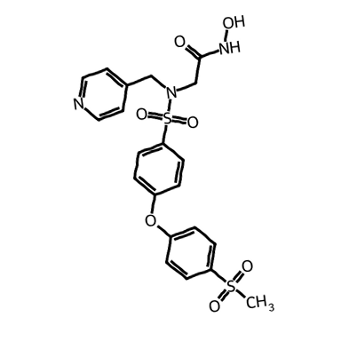 CS(=O)(=O)c1ccc(Oc2ccc(S(=O)(=O)N(CC(=O)NO)Cc3ccncc3)cc2)cc1